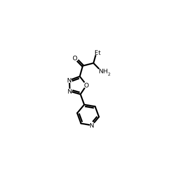 CCC(N)C(=O)c1nnc(-c2ccncc2)o1